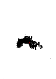 CCCCCCCCC(O)(COCCOc1ccccc1)C(O)CCCCCO